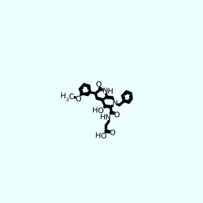 COc1cccc(C2C=C3C(=CN(Cc4ccccc4)C(C(=O)NCCC(=O)O)=C3O)NC2=O)c1